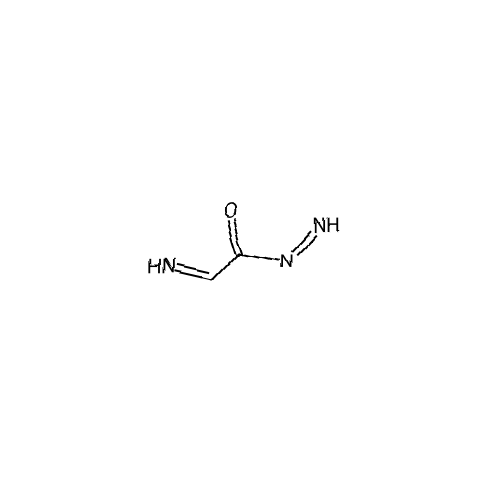 N=CC(=O)N=N